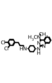 CN(C)c1nc(N[C@H]2CC[C@@H](NCCCc3ccc(Cl)c(Cl)c3)CC2)nc2ccccc12